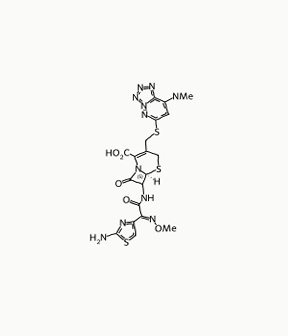 CNc1cc(SCC2=C(C(=O)O)N3C(=O)C(NC(=O)C(=NOC)c4csc(N)n4)[C@@H]3SC2)nn2nnnc12